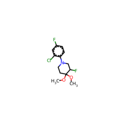 COC1(OC)CCN(c2ccc(F)cc2Cl)CC1F